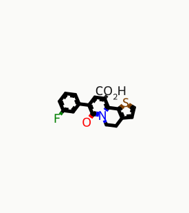 O=C(O)c1cc(-c2cccc(F)c2)c(=O)n2c1-c1sccc1CC2